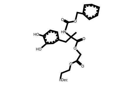 CCCCCCCCCCCCOC(=O)COC(=O)C(C)(Cc1ccc(O)c(O)c1)NC(=O)OCc1ccccc1